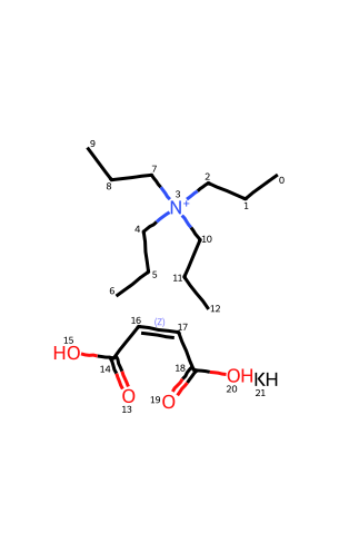 CCC[N+](CCC)(CCC)CCC.O=C(O)/C=C\C(=O)O.[KH]